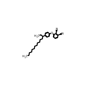 CCCCCCCCCCCCC(CC)c1ccc(Oc2cccc(C#N)c2C#N)cc1